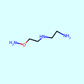 NCCNCCON